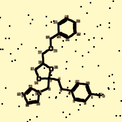 Fc1ccc(CCC2(Cn3ccnc3)OCC(COCc3ccccc3)O2)cc1